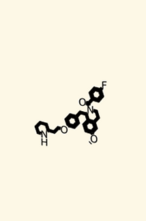 COc1ccc2c(c1)CCN(C(=O)c1ccc(F)cc1)C2Cc1ccc(OCCC2CCCCN2)cc1